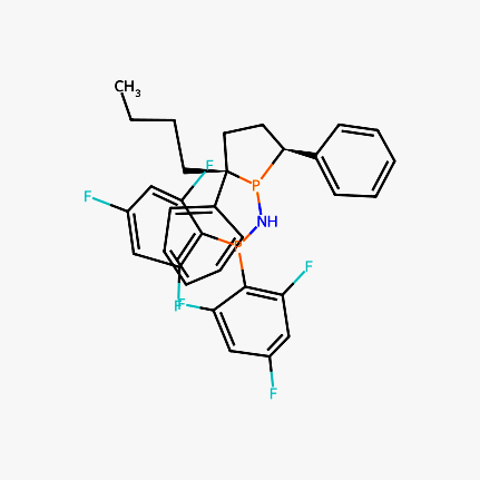 CCCC[C@@]1(c2ccccc2)CC[C@@H](c2ccccc2)P1NP(c1c(F)cc(F)cc1F)c1c(F)cc(F)cc1F